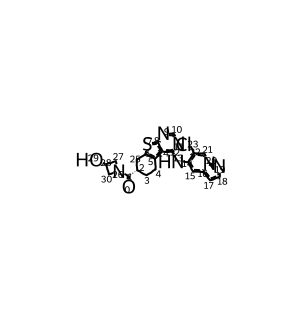 O=C([C@H]1CCc2c(sc3ncnc(Nc4cc5ccnn5cc4Cl)c23)C1)N1CC(O)C1